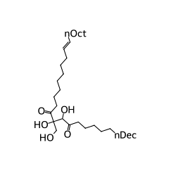 CCCCCCCCC=CCCCCCCCC(=O)C(O)(CO)C(O)C(=O)CCCCCCCCCCCCCCC